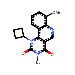 CCn1c(=O)c2cnc3c(OC)cccc3c2n(C2CCC2)c1=O